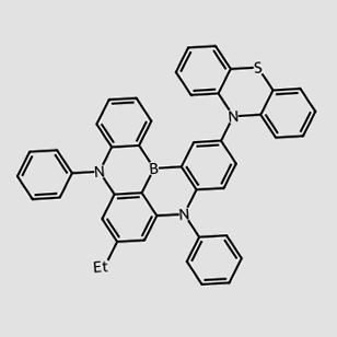 CCc1cc2c3c(c1)N(c1ccccc1)c1ccc(N4c5ccccc5Sc5ccccc54)cc1B3c1ccccc1N2c1ccccc1